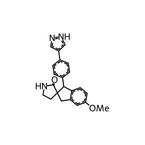 COc1ccc2c(c1)CC1(CCNC1=O)C2c1ccc(-c2cn[nH]c2)cc1